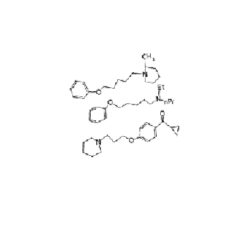 CC1CCCCN1CCCCCOc1ccccc1.CCCN(CC)CCCCCOc1ccccc1.O=C(c1ccc(OCCCN2CCCCC2)cc1)C1CC1